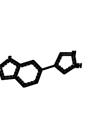 c1cc2ccc(-c3cn[nH]c3)cc2s1